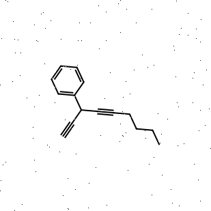 C#CC(C#CCCCC)c1ccccc1